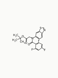 CC(C)(C)OC(=O)CN(C(=O)c1c(F)cc(F)cc1F)c1ccc2ncsc2c1